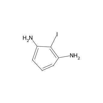 Nc1cccc(N)c1I